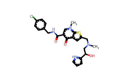 CN(Cc1cc2c(=O)c(C(=O)NCc3ccc(Cl)cc3)cn(C)c2s1)CC(O)c1ccc[nH]1